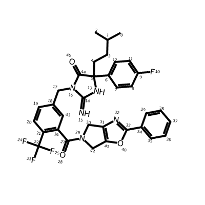 CC(C)CCC1(c2ccc(F)cc2)NC(=N)N(Cc2ccc(C(F)(F)F)c(C(=O)N3Cc4nc(-c5ccccc5)oc4C3)c2)C1=O